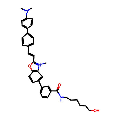 CN(C)c1ccc(-c2ccc(/C=C/c3oc4ccc(-c5cccc(C(=O)NCCCCCCO)c5)cc4[n+]3C)cc2)cc1